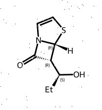 CC[C@H](O)[C@@H]1C(=O)N2C=CS[C@H]12